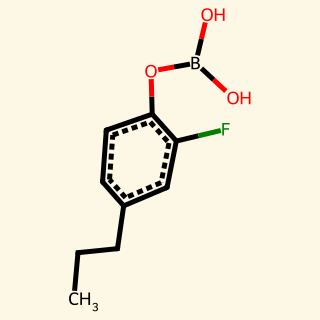 CCCc1ccc(OB(O)O)c(F)c1